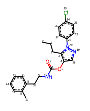 CCCc1c(OC(=O)NCCc2ccccc2C)cnn1-c1ccc(Cl)cc1